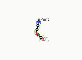 CCCCCc1cnc(-c2ccc(-c3ccc(C(F)(F)Oc4ccc(-c5cc(F)c(OC(F)(F)F)c(F)c5)c(F)c4)cc3)c(F)c2)nc1